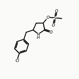 CS(=O)(=O)OC1CC(Cc2ccc(Cl)cc2)NC1=O